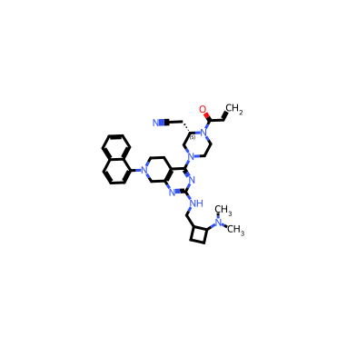 C=CC(=O)N1CCN(c2nc(NCC3CCC3N(C)C)nc3c2CCN(c2cccc4ccccc24)C3)C[C@@H]1CC#N